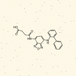 O=C(O)CCC(=O)Nc1ccc(Nc2ccccc2-c2ccccc2)c2nonc12